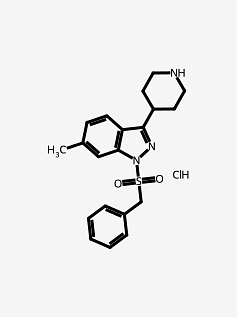 Cc1ccc2c(C3CCNCC3)nn(S(=O)(=O)Cc3ccccc3)c2c1.Cl